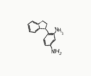 Nc1ccc(C2CCc3ccccc32)c(N)c1